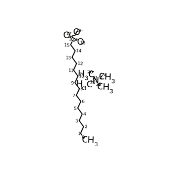 CCCCCCCCCCCCCCCCS(=O)(=O)[O-].C[N+](C)(C)C